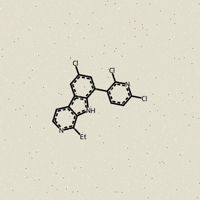 CCc1nccc2c1[nH]c1c(-c3ccc(Cl)nc3Cl)cc(Cl)cc12